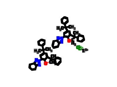 CC(C)(c1ccccc1)c1cc(-n2nc3ccccc3n2)c([O-])c(C(C)(C)c2ccccc2)c1.CC(C)(c1ccccc1)c1cc(-n2nc3ccccc3n2)c([O-])c(C(C)(C)c2ccccc2)c1.[Cl-].[Cl-].[Ti+4]